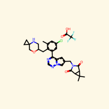 Cc1cc(Cl)cc(-c2ncnn3cc(CN4C(=O)C5C(C4=O)C5(C)C)cc23)c1CC1CNC2(CC2)CO1.O=C(O)C(F)(F)F